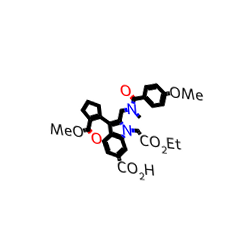 CCOC(=O)Cn1c(CN(C)C(=O)c2ccc(OC)cc2)c(C2=C(C(=O)OC)CCC2)c2ccc(C(=O)O)cc21